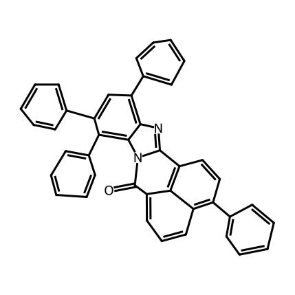 O=c1c2cccc3c(-c4ccccc4)ccc(c32)c2nc3c(-c4ccccc4)cc(-c4ccccc4)c(-c4ccccc4)c3n12